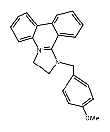 COc1ccc(CN2CC[n+]3c2c2ccccc2c2ccccc23)cc1